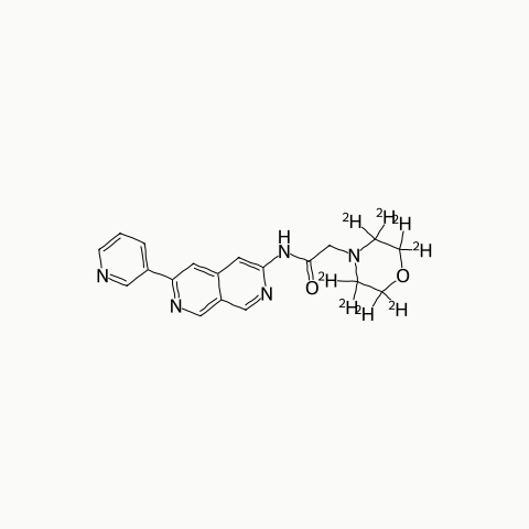 [2H]C1([2H])OC([2H])([2H])C([2H])([2H])N(CC(=O)Nc2cc3cc(-c4cccnc4)ncc3cn2)C1([2H])[2H]